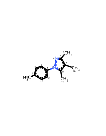 Cc1ccc(-n2nc(C)c(C)c2C)cc1